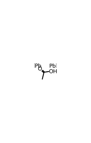 CC(=O)O.[Pb].[Pb]